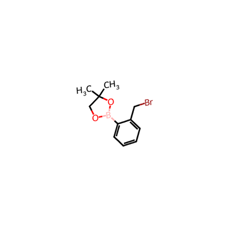 CC1(C)COB(c2ccccc2CBr)O1